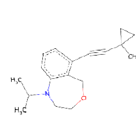 CC(C)N1CCOCc2c(C#CC3(C)CC3)cccc21